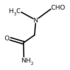 CN(C=O)CC(N)=O